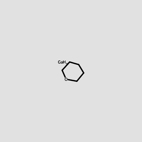 C1CCOCC1.[GaH3]